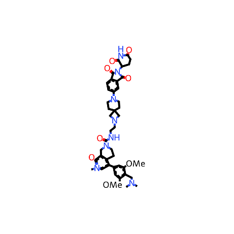 COc1cc(-c2cn(C)c(=O)c3c2CCN(C(=O)NCCN2CC4(CCN(c5ccc6c(c5)C(=O)N(C5CCC(=O)NC5=O)C6=O)CC4)C2)C3)cc(OC)c1CN(C)C